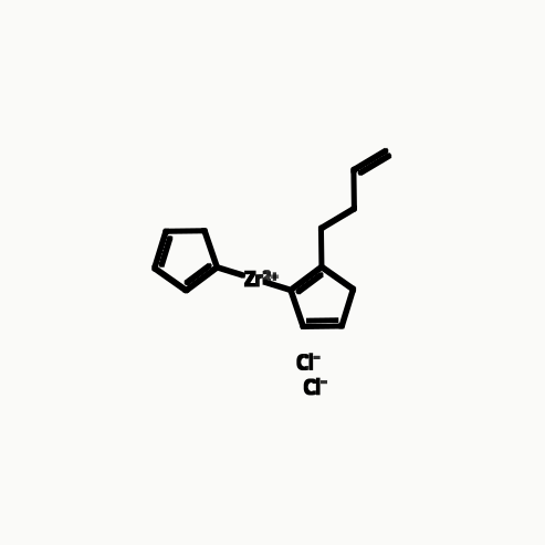 C=CCCC1=[C]([Zr+2][C]2=CC=CC2)C=CC1.[Cl-].[Cl-]